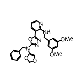 COc1cc(CNc2ncccc2-c2nnc(N(Cc3ccccc3)C3=COCO3)o2)cc(OC)c1